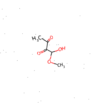 COC(O)C(=O)C(C)=O